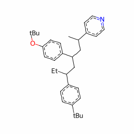 CCC(CC(CC(C)c1ccncc1)c1ccc(OC(C)(C)C)cc1)c1ccc(C(C)(C)C)cc1